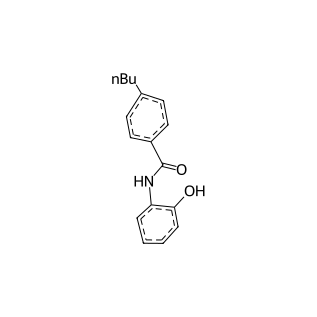 CCCCc1ccc(C(=O)Nc2ccccc2O)cc1